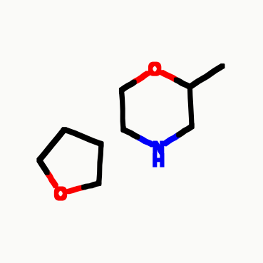 C1CCOC1.CC1CNCCO1